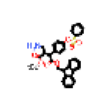 CC(C)(C)OC(=O)C(CN)C(C(=O)OCC1c2ccccc2-c2ccccc21)c1ccc(OS(=O)(=O)c2ccccc2)cc1